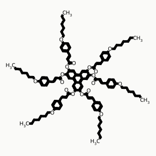 CCCCCCCOc1ccc(C=CC(=O)Oc2cc3c4cc(OC(=O)C=Cc5ccc(OCCCCCCC)cc5)c(OC(=O)C=Cc5ccc(OCCCCCCC)cc5)cc4c4cc(OC(=O)C=Cc5ccc(OCCCCCCC)cc5)c(OC(=O)C=Cc5ccc(OCCCCCCC)cc5)cc4c3cc2OC(=O)C=Cc2ccc(OCCCCCCC)cc2)cc1